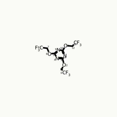 FC(F)(F)COc1nc(OCC(F)(F)F)nc(OCC(F)(F)F)n1